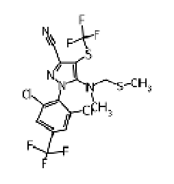 CSCN(C)c1c(SC(F)(F)F)c(C#N)nn1-c1c(Cl)cc(C(F)(F)F)cc1Cl